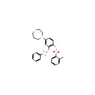 Cc1ccccc1S(=O)(=O)Nc1ccc(N2CCCNCC2)cc1NS(=O)(=O)c1ccccc1.Cl